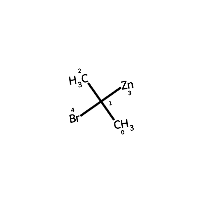 C[C](C)([Zn])Br